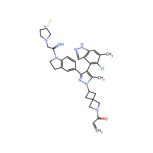 C=CC(=O)N1CC2(CC(n3nc(-c4ccc5c(c4)CCN5C(=N)CN4CC[C@H](F)C4)c(-c4c(Cl)c(C)cc5[nH]ncc45)c3C)C2)C1